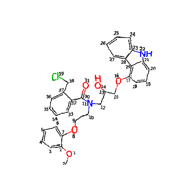 COc1ccccc1OCCN(CC(O)COc1cccc2[nH]c3ccccc3c12)C(=O)c1ccccc1CCl